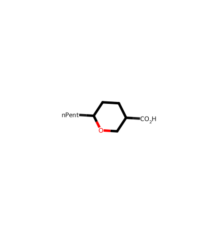 CCCCCC1CCC(C(=O)O)CO1